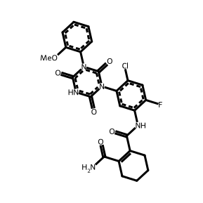 COc1ccccc1-n1c(=O)[nH]c(=O)n(-c2cc(NC(=O)C3=C(C(N)=O)CCCC3)c(F)cc2Cl)c1=O